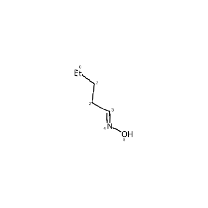 CCCCC=NO